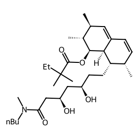 CCCCN(C)C(=O)C[C@H](O)C[C@H](O)CC[C@@H]1[C@@H]2C(=C[C@H](C)[C@@H](C)[C@@H]2OC(=O)C(C)(C)CC)C=C[C@@H]1C